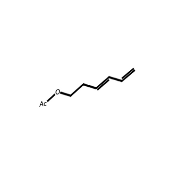 C=CC=CCCOC(C)=O